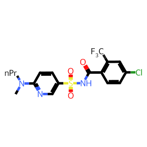 CCCN(C)c1ccc(S(=O)(=O)NC(=O)c2ccc(Cl)cc2C(F)(F)F)cn1